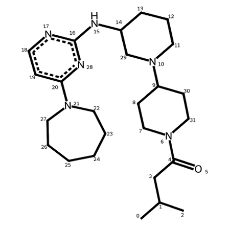 CC(C)CC(=O)N1CCC(N2CCCC(Nc3nccc(N4CCCCCC4)n3)C2)CC1